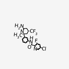 C[C@@]1(c2cccc(NC(=O)c3ncc(Cl)cc3F)c2)C[C@@H](C(F)(F)F)CC(N)=N1